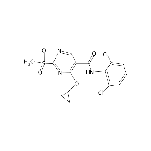 CS(=O)(=O)c1ncc(C(=O)Nc2c(Cl)cccc2Cl)c(OC2CC2)n1